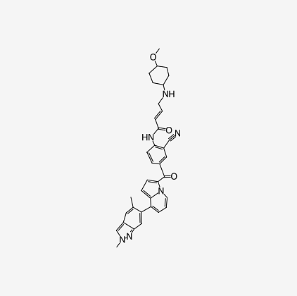 COC1CCC(NC/C=C/C(=O)Nc2ccc(C(=O)c3ccc4c(-c5cc6nn(C)cc6cc5C)cccn34)cc2C#N)CC1